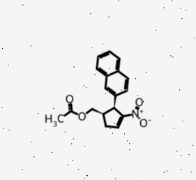 CC(=O)OC[C@@H]1CC=C([N+](=O)[O-])[C@@H]1c1ccc2ccccc2c1